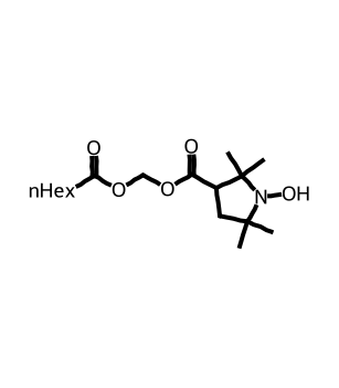 CCCCCCC(=O)OCOC(=O)C1CC(C)(C)N(O)C1(C)C